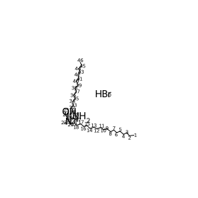 Br.CCCCCCCCCCCCCCCCCCC(CN(C)CCO)C(C)(N)CCCCCCCCCCCCCCCCCC